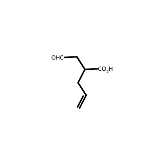 C=CCC(CC=O)C(=O)O